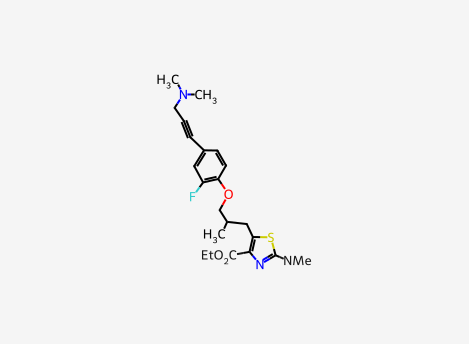 CCOC(=O)c1nc(NC)sc1CC(C)COc1ccc(C#CCN(C)C)cc1F